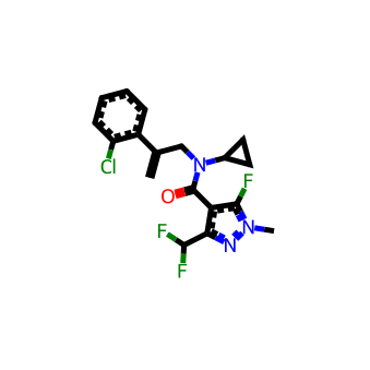 C=C(CN(C(=O)c1c(C(F)F)nn(C)c1F)C1CC1)c1ccccc1Cl